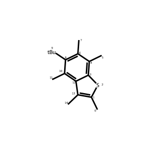 Cc1sc2c(C)c(C)c(C(C)(C)C)c(C)c2c1C